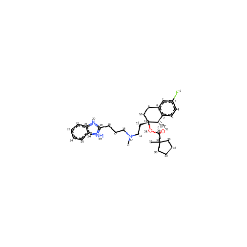 CC(C)[C@H]1c2ccc(F)cc2CC[C@@]1(CCN(C)CCCc1nc2ccccc2[nH]1)OC(=O)C1(C)CCCC1